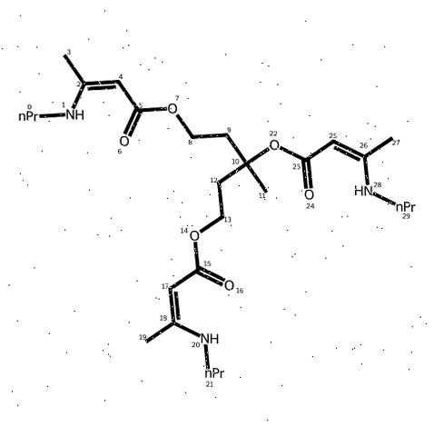 CCCN/C(C)=C\C(=O)OCCC(C)(CCOC(=O)/C=C(/C)NCCC)OC(=O)/C=C(/C)NCCC